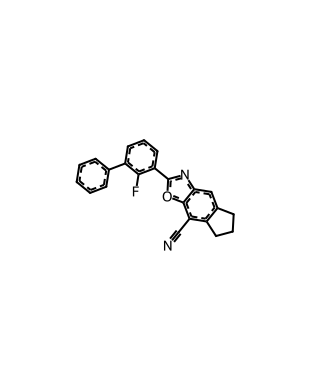 N#Cc1c2c(cc3nc(-c4cccc(-c5ccccc5)c4F)oc13)CCC2